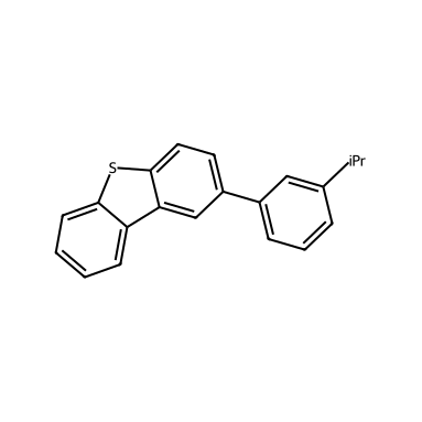 CC(C)c1cccc(-c2ccc3sc4ccccc4c3c2)c1